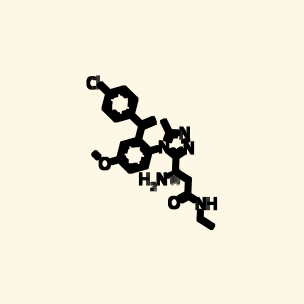 C=C(c1ccc(Cl)cc1)c1cc(OC)ccc1-n1c(C)nnc1[C@H](N)CC(=O)NCC